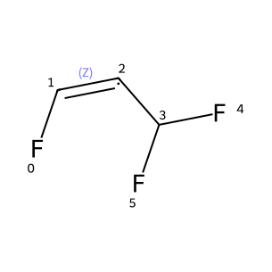 F/C=[C]\C(F)F